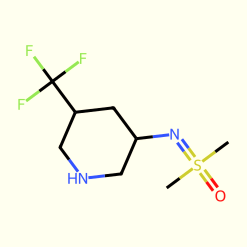 CS(C)(=O)=NC1CNCC(C(F)(F)F)C1